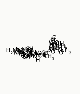 CC(C)[C@H](NC(=O)CCN1C(=O)C=CC1=O)C(=O)N[C@@H](CCCNC(N)=O)C(=O)Nc1ccc(COC(=O)N(C)CCOC(=O)Nc2ncnc3c2ncn3[C@@H]2O[C@@H]3CO[P@](=O)(S)O[C@H]4[C@@H](F)[C@H](n5cnc6c(N)ncnc65)O[C@@H]4CO[P@@](=O)(S)O[C@H]3[C@H]2F)cc1